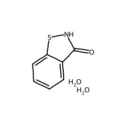 O.O.O=c1[nH]sc2ccccc12